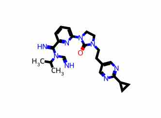 CC(C)N(C=N)C(=N)c1cccc(N2CCN(CCc3cnc(C4CC4)nc3)C2=O)n1